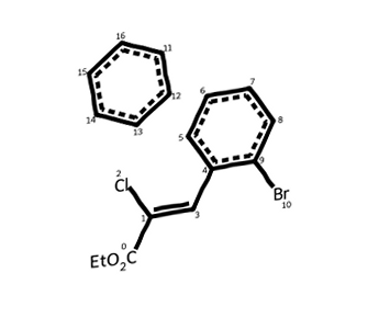 CCOC(=O)C(Cl)=Cc1ccccc1Br.c1ccccc1